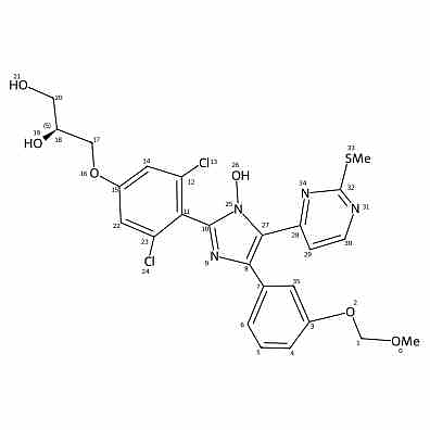 COCOc1cccc(-c2nc(-c3c(Cl)cc(OC[C@@H](O)CO)cc3Cl)n(O)c2-c2ccnc(SC)n2)c1